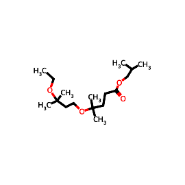 CCOC(C)(C)CCOC(C)(C)CCC(=O)OCC(C)C